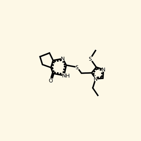 CCn1cnc(SC)c1CSc1nc2c(c(=O)[nH]1)CCC2